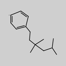 CC(C)CC(C)(C)CCc1cc[c]cc1